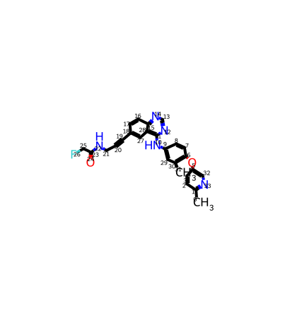 Cc1ccc(Oc2ccc(Nc3ncnc4ccc(C#CCNC(=O)CF)cc34)cc2C)cn1